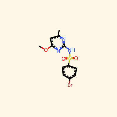 COc1cc(C)nc(NS(=O)(=O)c2ccc(Br)cc2)n1